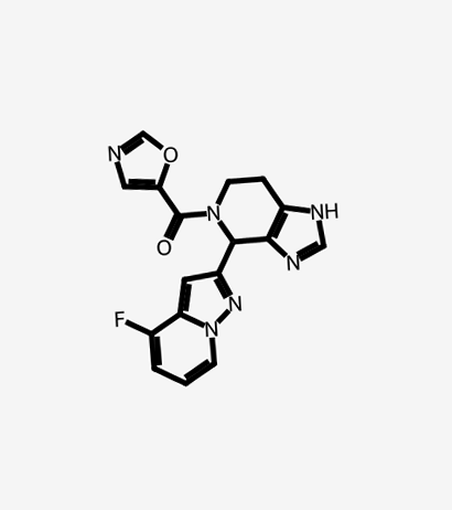 O=C(c1cnco1)N1CCc2[nH]cnc2C1c1cc2c(F)cccn2n1